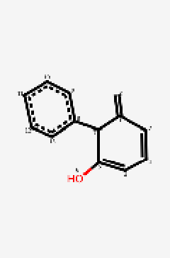 C=C1C=CC=C(O)C1c1ccccc1